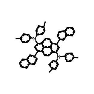 Cc1ccc(N(c2ccc(C)cc2)c2cc(-c3ccc4ccccc4c3)c3ccc4c(N(c5ccc(C)cc5)c5ccc(C)cc5)cc(-c5ccc6ccccc6c5)c5ccc2c3c54)cc1